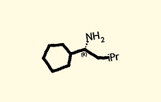 CC(C)C[C@@H](N)C1CCCCC1